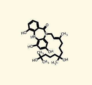 C/C(=C\CN1C(=O)c2cccc(O)c2Nc2c(O)cc(O)cc21)CCCC(C)(O)CCCC(C)(C)O